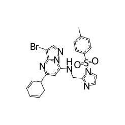 Cc1ccc(S(=O)(=O)n2ccnc2CNc2cc(C3C=CC=CC3)nc3c(Br)cnn23)cc1